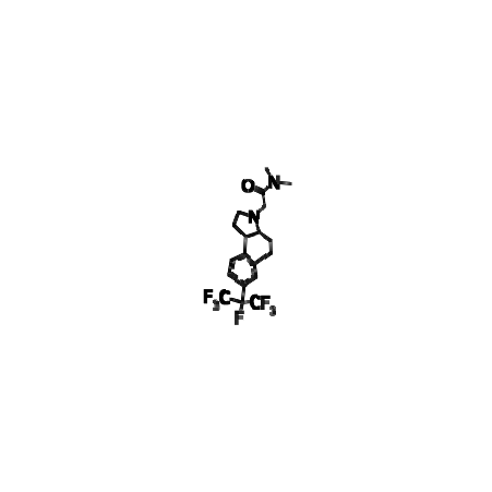 CN(C)C(=O)CN1CCC2c3ccc(C(F)(C(F)(F)F)C(F)(F)F)cc3CCC21